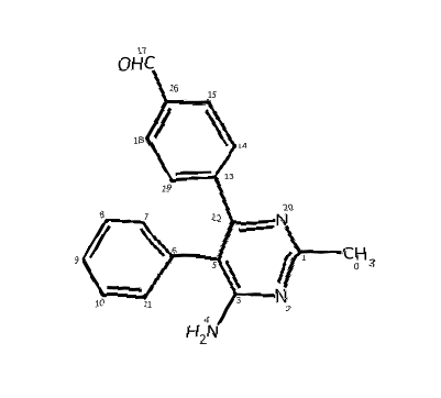 Cc1nc(N)c(-c2ccccc2)c(-c2ccc(C=O)cc2)n1